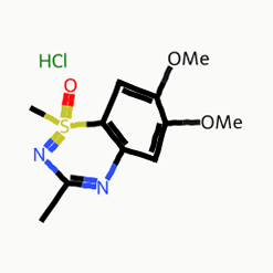 COc1cc2c(cc1OC)S(C)(=O)=NC(C)=N2.Cl